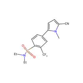 CCN(CC)S(=O)(=O)c1ccc(-c2ccc(C#N)n2C)cc1C(F)(F)F